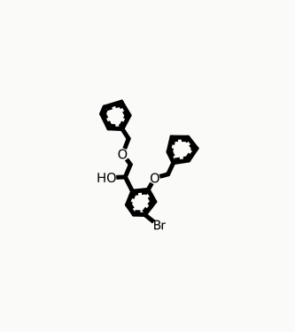 OC(COCc1ccccc1)c1ccc(Br)cc1OCc1ccccc1